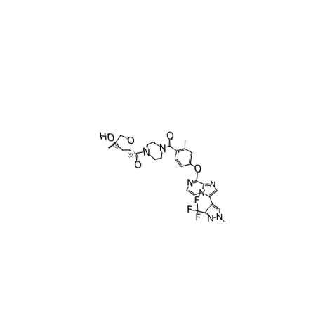 Cc1cc(Oc2nccn3c(-c4cn(C)nc4C(F)(F)F)cnc23)ccc1C(=O)N1CCN(C(=O)[C@@H]2C[C@](C)(O)CO2)CC1